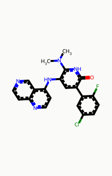 CN(C)c1[nH]c(=O)c(-c2cc(Cl)ccc2F)cc1Nc1ccnc2ccncc12